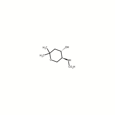 CC1(C)C[C@H](O)[C@@H](NC(=O)O)CO1